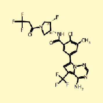 Cc1cc(-c2cc(C(F)(F)F)c3c(N)ncnn23)cc(C(=O)N[C@@H]2CN(C(=O)CC(F)(F)F)C[C@@H]2F)c1Cl